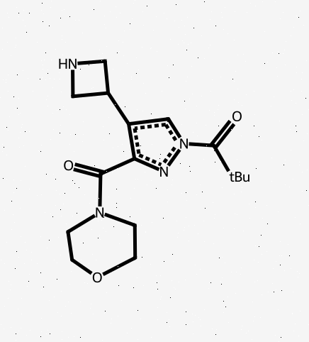 CC(C)(C)C(=O)n1cc(C2CNC2)c(C(=O)N2CCOCC2)n1